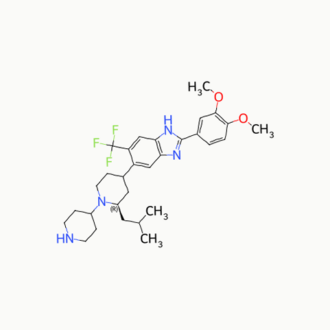 COc1ccc(-c2nc3cc(C4CCN(C5CCNCC5)[C@H](CC(C)C)C4)c(C(F)(F)F)cc3[nH]2)cc1OC